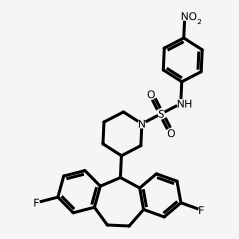 O=[N+]([O-])c1ccc(NS(=O)(=O)N2CCCC(C3c4ccc(F)cc4CCc4cc(F)ccc43)C2)cc1